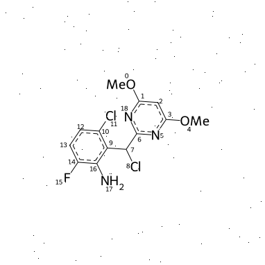 COc1cc(OC)nc(C(Cl)c2c(Cl)ccc(F)c2N)n1